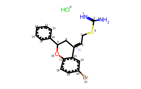 Cl.N=C(N)SC/C=C1\CC(c2ccccc2)Oc2ccc(Br)cc21